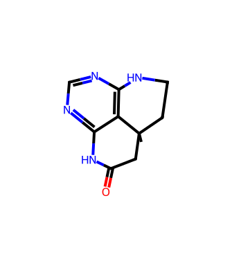 CC12CCNc3ncnc(c31)NC(=O)C2